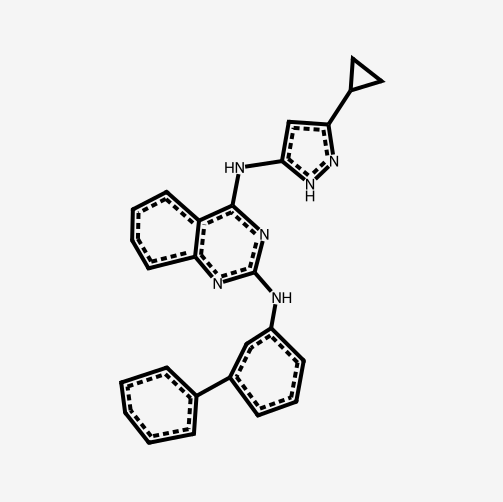 c1ccc(-c2cccc(Nc3nc(Nc4cc(C5CC5)n[nH]4)c4ccccc4n3)c2)cc1